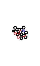 c1ccc(-c2cccc(N(c3ccccc3-c3ccc4c(c3)-c3ccccc3C43c4ccccc4Oc4ccccc43)c3cccc4c3-c3ccccc3C43c4ccccc4Oc4ccccc43)c2)cc1